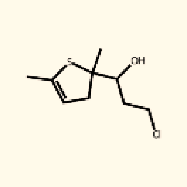 CC1=CCC(C)(C(O)CCCl)S1